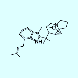 CC(C)=CCc1cccc2c3c([nH]c12)C(C)(C)C1C2=C4OC1(C3)CN1CCCC421